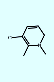 CC1=C(Cl)C=CCN1C